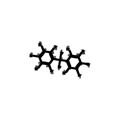 Brc1c(Br)c(Br)c(C(Br)(Br)c2c(Br)c(Br)c(Br)c(Br)c2Br)c(Br)c1Br